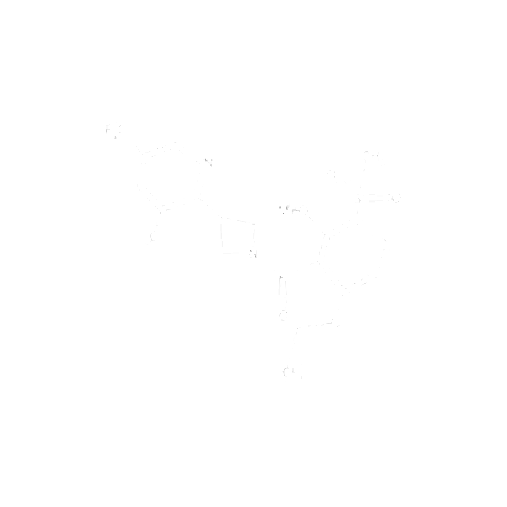 COc1c(S(C)(=O)=O)ccc(OCC(F)(F)F)c1C(=O)N1CC(c2ncc(C(F)(F)F)cc2Cl)C1